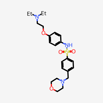 CCN(CC)CCOc1ccc(NS(=O)(=O)c2ccc(CN3CCOCC3)cc2)cc1